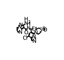 CCC(NC(=O)c1c(N)nn2cccnc12)c1cc(Cl)c2cncn2c1N1CCS(=S=O)CC1